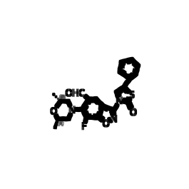 C[C@@H]1CN(c2c(C=O)cc3c(-n4cc(-c5ccccc5)sc4=O)noc3c2F)C[C@@H](C)O1